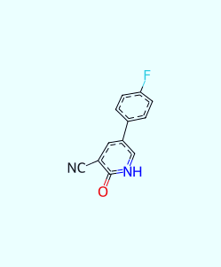 N#Cc1cc(-c2ccc(F)cc2)c[nH]c1=O